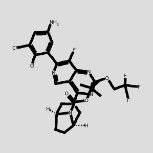 CC(C)(C)OC(=O)N1[C@@H]2CC[C@H]1CN(c1nc(OCC(F)(F)F)nc3c(F)c(-c4cc(N)cc(Cl)c4Cl)ncc13)C2